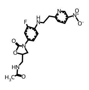 CC(=O)NCC1CN(c2ccc(NCCc3ccc([N+](=O)[O-])cn3)c(F)c2)C(=O)O1